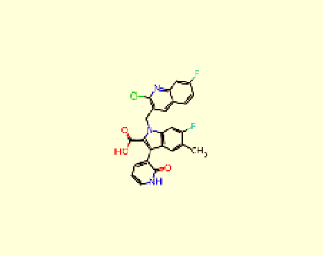 Cc1cc2c(-c3ccc[nH]c3=O)c(C(=O)O)n(Cc3cc4ccc(F)cc4nc3Cl)c2cc1F